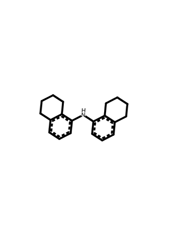 c1cc2c(c(Nc3cccc4c3CCCC4)c1)CCCC2